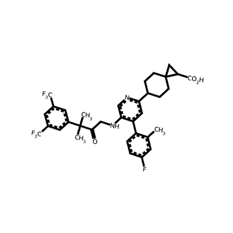 Cc1cc(F)ccc1-c1cc(C2CCC3(CC2)CC3C(=O)O)ncc1NCC(=O)C(C)(C)c1cc(C(F)(F)F)cc(C(F)(F)F)c1